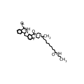 C=C(CCCCCCCCC(=O)NCCC)N1CCN(C(=O)c2cc(CC3=NNC(=C=O)c4ccccc43)ccc2F)CC1